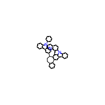 c1ccc(-n2c3ccccc3c3cc(C4CCc5ccccc5-c5cc6c7ccccc7n7c8ccc9ccccc9c8c(c54)c67)cnc32)cc1